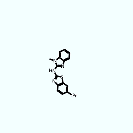 CC(C)c1ccc2nc(Nc3nc4ccccc4n3C)sc2c1